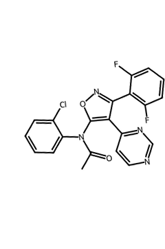 CC(=O)N(c1ccccc1Cl)c1onc(-c2c(F)cccc2F)c1-c1ccncn1